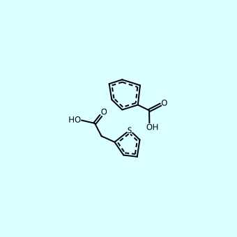 O=C(O)Cc1cccs1.O=C(O)c1ccccc1